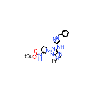 CC(C)n1cnc2c(Nc3cnn(Cc4ccccc4)c3)nc(N3CCC[C@H](NC(=O)OC(C)(C)C)C3)nc21